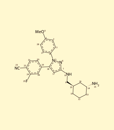 COc1ccc(-n2nc(NC[C@@H]3CCC[C@@H](N)C3)cc2-c2ccc(C#N)c(F)c2)cc1